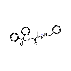 O=C(CCP(=O)(c1ccccc1)c1ccccc1)N/N=N/Cc1ccccc1